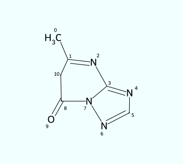 CC1=Nc2ncnn2C(=O)C1